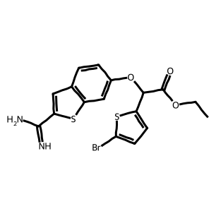 CCOC(=O)C(Oc1ccc2cc(C(=N)N)sc2c1)c1ccc(Br)s1